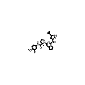 COc1ccc(NC(=O)[C@]2(C)CCCN2c2nc(Nc3cc(C4CC4)[nH]n3)n3cccc3n2)cc1F